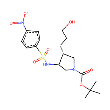 CC(C)(C)OC(=O)N1C[C@@H](CCCO)[C@H](NS(=O)(=O)c2ccc([N+](=O)[O-])cc2)C1